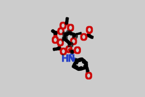 CC(=O)OC[C@H]1O[C@@H](OC(=O)Nc2ccc(C=O)cc2)[C@H](OC(C)=O)[C@@H](OC(C)=O)[C@H]1OC(C)=O